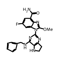 COc1nc2c(C(N)=O)cc(F)cc2n1-c1nc2c(c(NCc3ccccc3)n1)NCC2